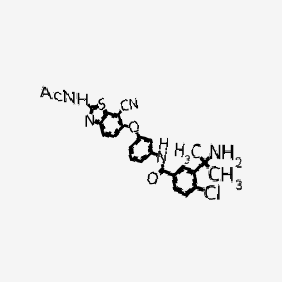 CC(=O)Nc1nc2ccc(Oc3cccc(NC(=O)c4ccc(Cl)c(C(C)(C)N)c4)c3)c(C#N)c2s1